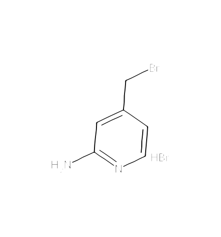 Br.Nc1cc(CBr)ccn1